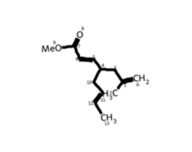 C=C(C)C[C](C=CC(=O)OC)CC=CC